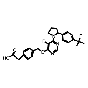 O=C(O)Cc1ccc(COc2ncnc(N3CCCC3c3ccc(C(F)(F)F)cc3)c2F)cc1